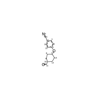 N#Cc1ccc(OC2CCC(C=O)CC2)cc1